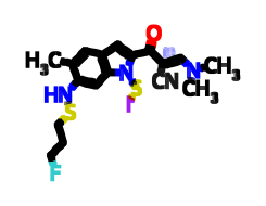 Cc1cc2cc(C(=O)/C(C#N)=C/N(C)C)n(SI)c2cc1NSCCCF